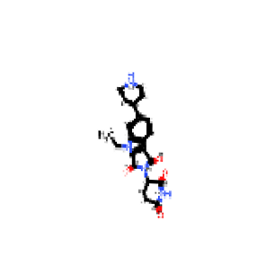 CCn1c2c(c3ccc(C4CCNCC4)cc31)C(=O)N(C1CCC(=O)NC1=O)C2=O